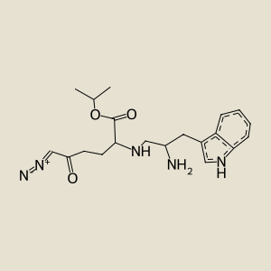 CC(C)OC(=O)C(CCC(=O)C=[N+]=[N-])NCC(N)Cc1c[nH]c2ccccc12